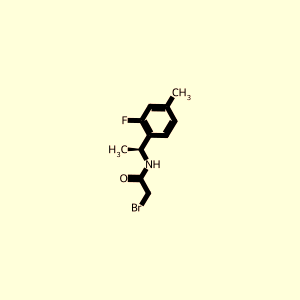 Cc1ccc([C@H](C)NC(=O)CBr)c(F)c1